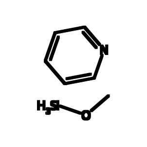 CO[SiH3].c1ccncc1